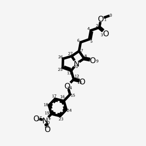 COC(=O)C=CCC1C(=O)N2C(C(=O)OCc3ccc([N+](=O)[O-])cc3)=CCC12